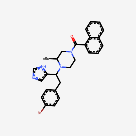 CCCCC1CN(C(=O)c2cccc3ccccc23)CCN1C(Cc1ccc(Br)cc1)c1cnc[nH]1